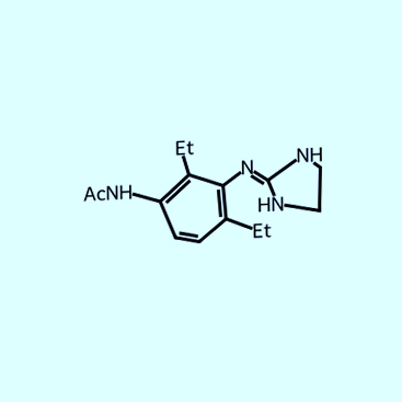 CCc1ccc(NC(C)=O)c(CC)c1N=C1NCCN1